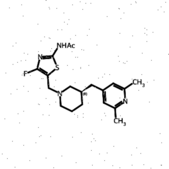 CC(=O)Nc1nc(F)c(CN2CCC[C@H](Cc3cc(C)nc(C)c3)C2)s1